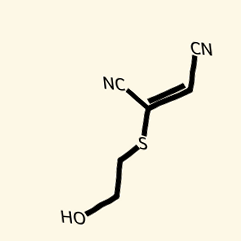 N#C/C=C(\C#N)SCCO